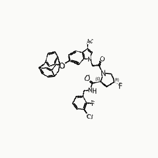 CC(=O)c1cn(CC(=O)N2C[C@H](F)C[C@H]2C(=O)NCc2cccc(Cl)c2F)c2cc(OCc3cc4ccc3CCc3ccc-4cc3)ccc12